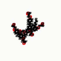 CCCCC(C)(Cc1cc(C(C)(C)C2=C3C(CCCC)(Cc4cc(OCC5CO5)ccc4C(C)(C)c4ccc(OCC5CO5)cc4)C3(C)C(OCC3CO3)=CC2)ccc1OCC1CO1)c1cc(C(C)(C)c2ccc(OCC3CO3)cc2)ccc1OCC1CO1